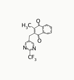 CC1=C(Cc2cnc(C(F)(F)F)nc2)C(=O)c2ccccc2C1=O